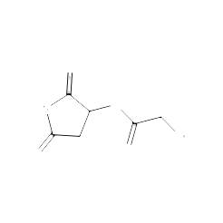 O=C1CC(OC(=O)CO)C(=O)N1